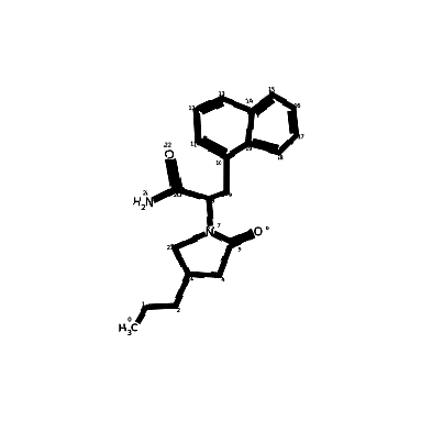 CCCC1CC(=O)N(C(Cc2cccc3ccccc23)C(N)=O)C1